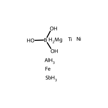 OB(O)O.[AlH3].[Fe].[MgH2].[Ni].[SbH3].[Ti]